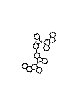 c1ccc2c(c1)ccc1c3ccccc3c(-n3c4ccccc4c4cc(-c5ccc6c7ccccc7n(-c7cc8c9ccccc9ccc8c8ccccc78)c6c5)ccc43)cc21